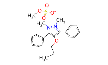 CCCOc1c(-c2ccccc2)n(C)[n+](C)c1-c1ccccc1.COS(=O)(=O)[O-]